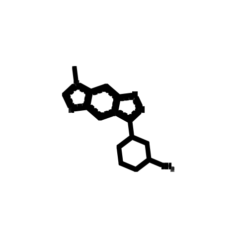 Cn1cnc2cn3c(C4CCCC(N)C4)nnc3cc21